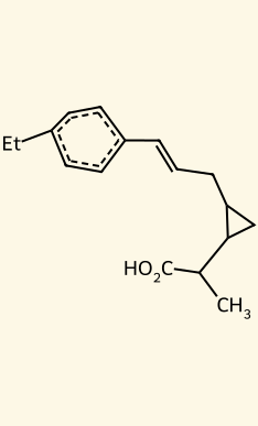 CCc1ccc(C=CCC2CC2C(C)C(=O)O)cc1